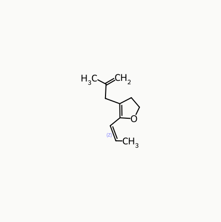 C=C(C)CC1=C(/C=C\C)OCC1